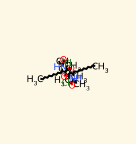 CCCCCCCCCCC(C)C1=C(C(C)NC(CC)C(=O)Cl)C(=O)C(C(C)CCCCCCCCCC)=C(C(C)NC(CC)C(=O)Cl)C1=O